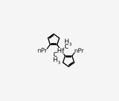 CCCC1=[C]([Hf]([CH3])([CH3])[C]2=C(CCC)C=CC2)CC=C1